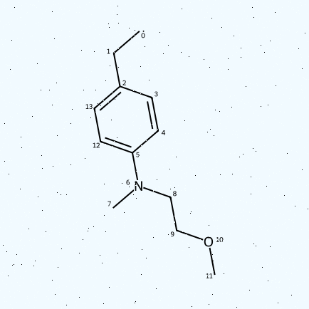 [CH2]Cc1ccc(N(C)CCOC)cc1